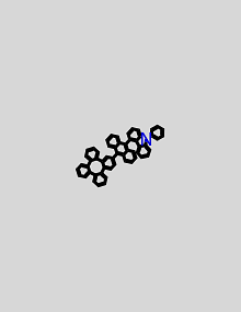 c1ccc(-n2c3ccccc3c3c(-c4c5ccccc5c(-c5ccc6c(c5)-c5ccccc5-c5ccccc5-c5ccccc5-6)c5ccccc45)cccc32)cc1